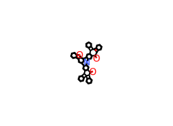 O=C1c2cc3c(cc2C2c4ccccc4C24CC1c1ccccc14)c1c2oc4ccccc4c2cc2c4cc5c(cc4n3c21)C(=O)C1c2ccccc2C12c1ccccc1C52